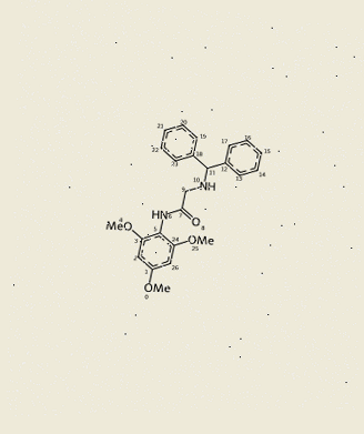 COc1cc(OC)c(NC(=O)CNC(c2ccccc2)c2ccccc2)c(OC)c1